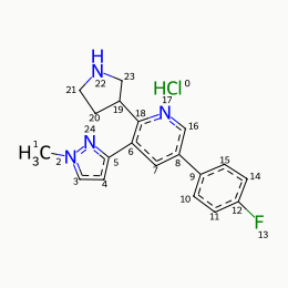 Cl.Cn1ccc(-c2cc(-c3ccc(F)cc3)cnc2C2CCNC2)n1